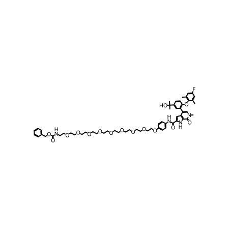 Cc1cc(F)cc(C)c1Oc1ccc(C(C)(C)O)cc1-c1cn(C)c(=O)c2[nH]c(C(=O)Nc3ccc(OCCOCCOCCOCCOCCOCCOCCOCCOCCNC(=O)OCc4ccccc4)cc3)cc12